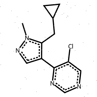 Cn1ncc(-c2ncncc2Cl)c1CC1CC1